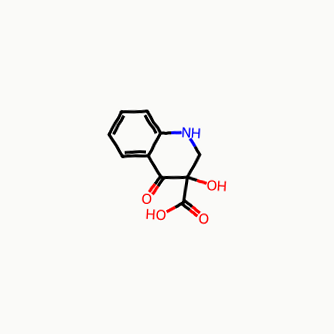 O=C(O)C1(O)CNc2ccccc2C1=O